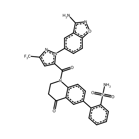 Nc1noc2ccc(-n3nc(C(F)(F)F)cc3C(=O)N3CCC(=O)c4cc(-c5ccccc5S(N)(=O)=O)ccc43)cc12